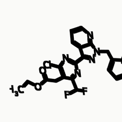 CCOC(=O)Cc1c(Cl)nc(-c2nn(Cc3ccccc3F)c3ncccc23)nc1C(F)F